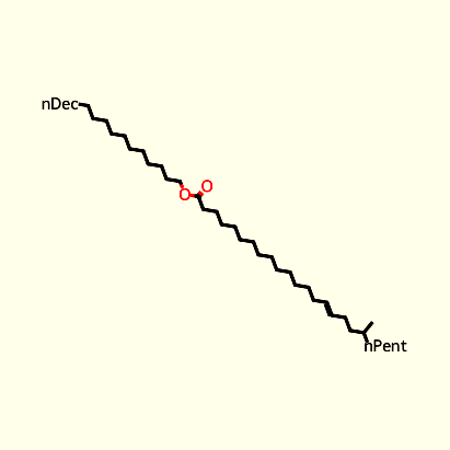 CCCCCCCCCCCCCCCCCCCCCOC(=O)CCCCCCCCCCCCCC=CCCC(C)CCCCC